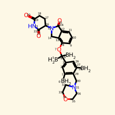 Bc1cc(C(B)(B)Oc2cccc3c2CN(C2CCC(=O)NC2=O)C3=O)cc(B)c1CN1CCOCC1